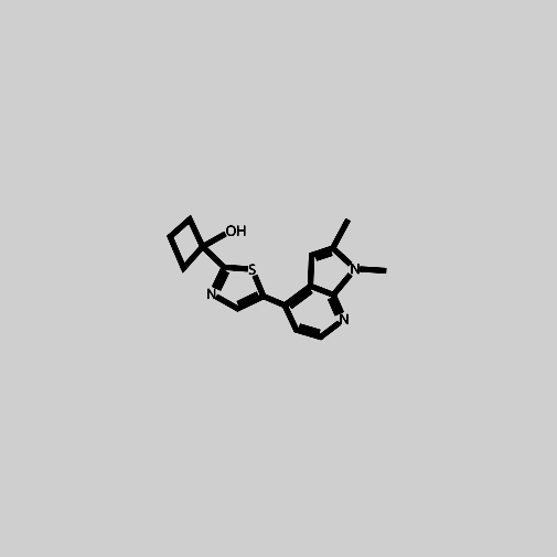 Cc1cc2c(-c3cnc(C4(O)CCC4)s3)ccnc2n1C